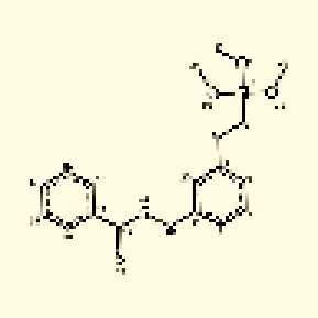 CO[Si](CCc1cccc(CSC(=S)c2ccccc2)c1)(OC)OC